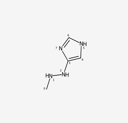 CNNc1c[nH]cn1